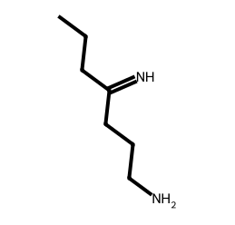 CCCC(=N)CCCN